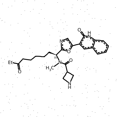 CCC(=O)CCCCC[C@@H](c1ncc(-c2cc3ccccc3[nH]c2=O)o1)N(C)C(=O)C1CNC1